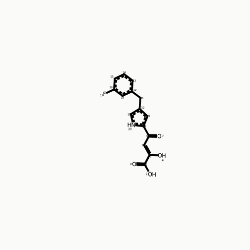 O=C(O)C(O)=CC(=O)c1cc(Cc2cccc(F)c2)c[nH]1